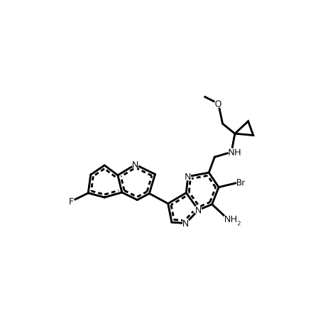 COCC1(NCc2nc3c(-c4cnc5ccc(F)cc5c4)cnn3c(N)c2Br)CC1